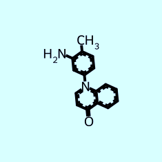 Cc1ccc(-n2ccc(=O)c3ccccc32)cc1N